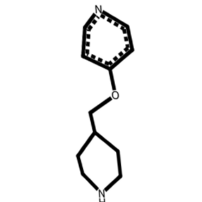 c1cc(OCC2CCNCC2)ccn1